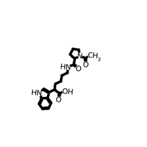 CC(=O)N1CCCC1C(=O)NCCCCC(C(=O)O)c1c[nH]c2ccccc12